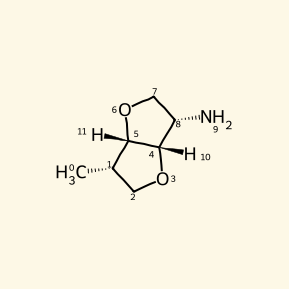 C[C@H]1CO[C@@H]2[C@H]1OC[C@@H]2N